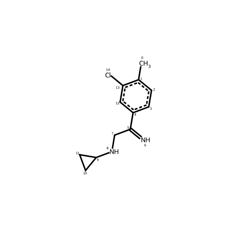 Cc1ccc(C(=N)CNC2CC2)cc1Cl